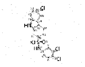 O=S(=O)(Nc1ccc(Cl)c(Cl)c1)N1CCc2c([nH]c3ccc(Cl)cc23)C1